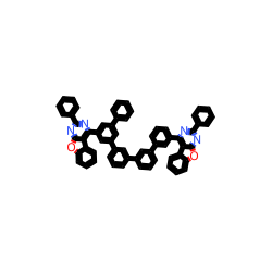 c1ccc(-c2cc(-c3cccc(-c4cccc(-c5cccc(-c6nc(-c7ccccc7)nc7oc8ccccc8c67)c5)c4)c3)cc(-c3nc(-c4ccccc4)nc4oc5ccccc5c34)c2)cc1